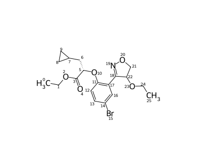 CCOC(=O)[C@H](CC1CC1)Oc1ccc(Br)cc1C1=NOCC1OCC